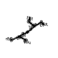 CCCCOC(=O)CCCCCCC(O)CN(CCCCC(=O)OCCN1CCN(CCSSCCCCN(CC(O)CCCCCCC(=O)OCC(CC)CC)CC(O)CCCCCCC(=O)OCC(CC)CC)CC1)CC(O)CCCCCCC(=O)OCCCC